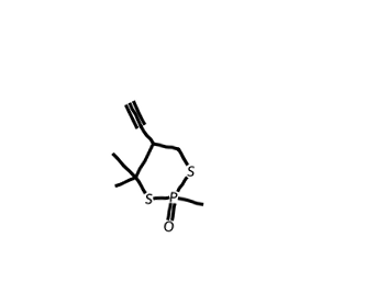 C#CC1CSP(C)(=O)SC1(C)C